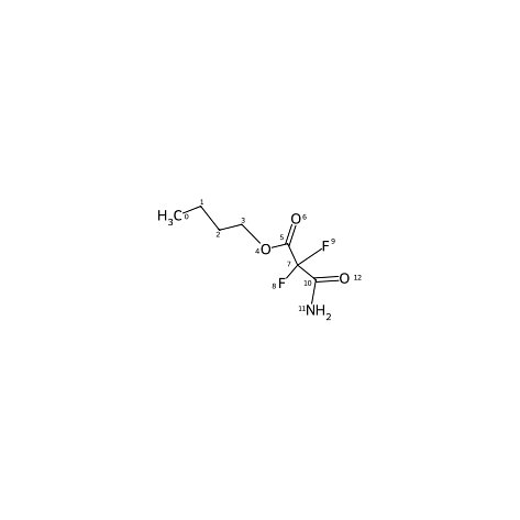 CCCCOC(=O)C(F)(F)C(N)=O